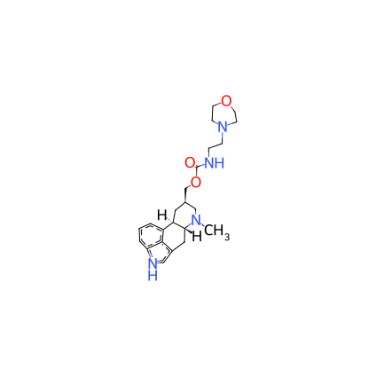 CN1C[C@H](COC(=O)NCCN2CCOCC2)C[C@@H]2c3cccc4[nH]cc(c34)C[C@H]21